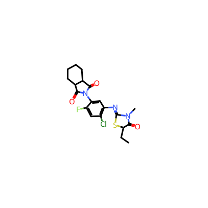 CCC1SC(=Nc2cc(N3C(=O)C4CCCCC4C3=O)c(F)cc2Cl)N(C)C1=O